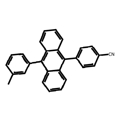 Cc1cccc(-c2c3ccccc3c(-c3ccc(C#N)cc3)c3ccccc23)c1